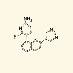 CCc1nc(N)ccc1-c1cccc2ccc(-c3cncnc3)nc12